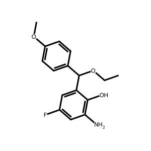 CCOC(c1ccc(OC)cc1)c1cc(F)cc(N)c1O